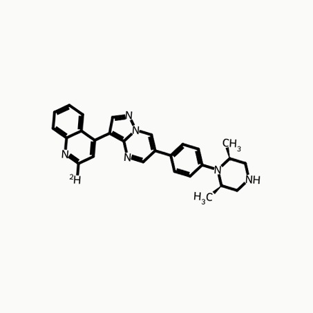 [2H]c1cc(-c2cnn3cc(-c4ccc(N5[C@H](C)CNC[C@@H]5C)cc4)cnc23)c2ccccc2n1